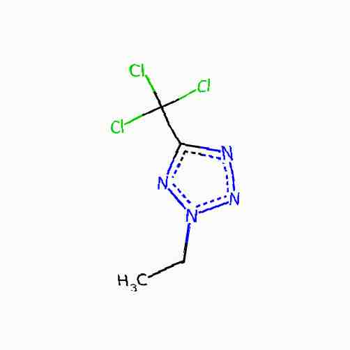 CCn1nnc(C(Cl)(Cl)Cl)n1